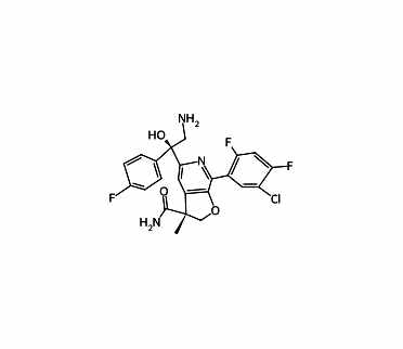 C[C@]1(C(N)=O)COc2c1cc([C@@](O)(CN)c1ccc(F)cc1)nc2-c1cc(Cl)c(F)cc1F